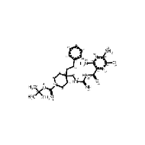 CC(C)(C)OC(=O)N1CCC(CCc2ccccc2)(CNC(=N)NC(=O)c2nc(Cl)c(N)nc2N)CC1